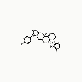 Cc1cnc([C@H]2CCC=C3[C@@H]2CCC2=Cc4c(cnn4-c4ccc(F)cc4)C[C@@]23C)[nH]1